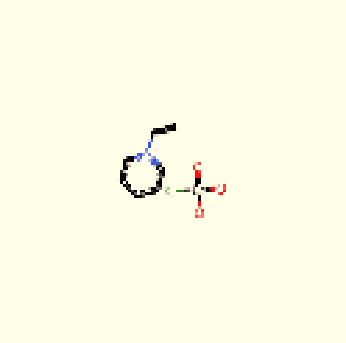 C=C[n+]1ccccc1.[O]=[Cr](=[O])([O-])[Cl]